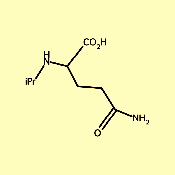 CC(C)NC(CCC(N)=O)C(=O)O